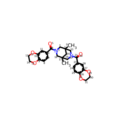 CC12CN(C(=O)c3ccc4c(c3)OCCO4)CC(C)(CN(C(=O)c3ccc4c(c3)OCCO4)C1)C2